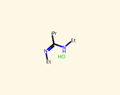 CCN=C(NCC)C(C)C.Cl